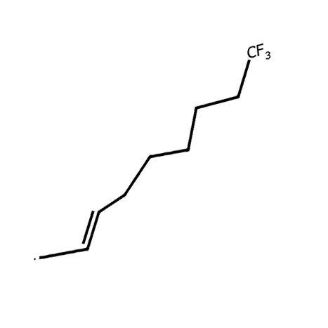 [CH2]C=CCCCCCC(F)(F)F